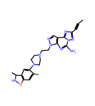 CC#Cc1nc2c3cnn(CCN4CCN(c5cc6c(cc5F)ONC6C)CC4)c3nc(N)n2n1